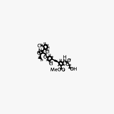 COC(=O)c1cc(C#Cc2ccc(OCc3c(-c4c(Cl)cccc4Cl)noc3C3CC3)cc2Cl)cc(NC(=O)OCCO)c1